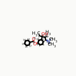 CC[C@](O)(c1cccc(OC(=O)c2ccccc2)c1)[C@@H](C)CN(C)C